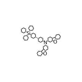 c1ccc([Si](c2ccccc2)(c2ccccc2)c2ccc(-c3ccc(N(c4ccc5c(c4)oc4ccccc45)c4ccc5oc6ccccc6c5c4)cc3)cc2)cc1